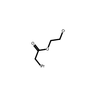 CC(C)CC(=O)OCC[O]